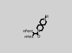 CCCCCCC(CCCCC)C(=O)N1CCC2(CCN(CC)CC2)CC1